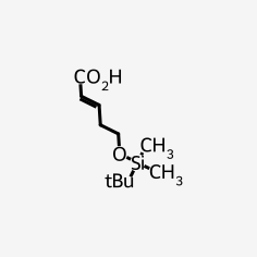 CC(C)(C)[Si](C)(C)OCCC=CC(=O)O